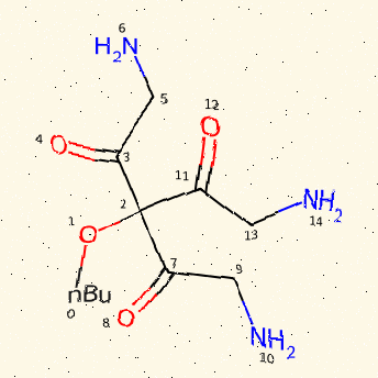 CCCCOC(C(=O)CN)(C(=O)CN)C(=O)CN